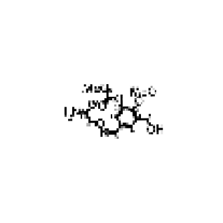 COOc1c(CO)cc(/C=N\OCC(N)=O)cc1OC(=O)OC